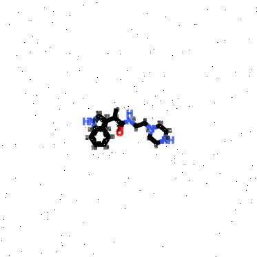 CC(C(=O)NCCN1CCNCC1)c1c[nH]c2ccccc12